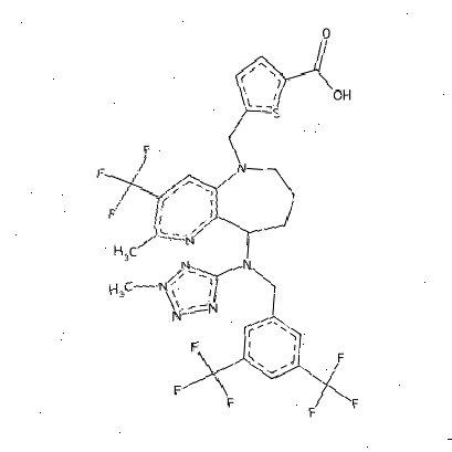 Cc1nc2c(cc1C(F)(F)F)N(Cc1ccc(C(=O)O)s1)CCCC2N(Cc1cc(C(F)(F)F)cc(C(F)(F)F)c1)c1nnn(C)n1